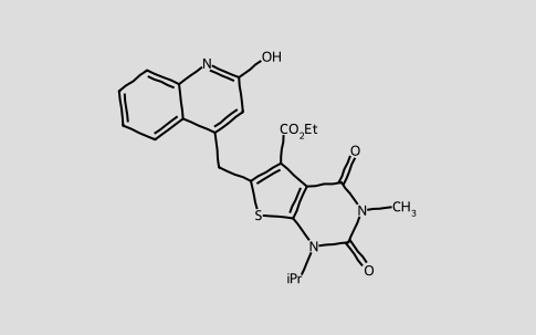 CCOC(=O)c1c(Cc2cc(O)nc3ccccc23)sc2c1c(=O)n(C)c(=O)n2C(C)C